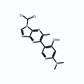 CCC(CC)n1cnc2nc(-c3cnc(N(C)C)cc3OC)c(C)nc21